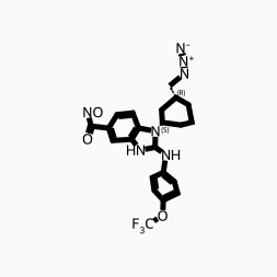 [N-]=[N+]=NC[C@@H]1CCC[C@H](N2c3ccc(C(=O)N=O)cc3NC2Nc2ccc(OC(F)(F)F)cc2)C1